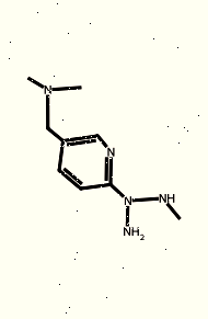 CNN(N)c1ccc(CN(C)C)cn1